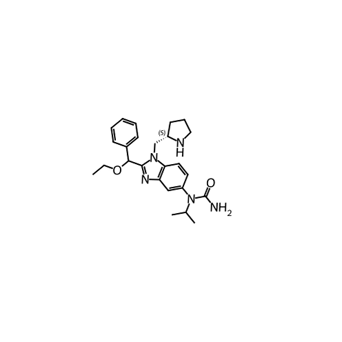 CCOC(c1ccccc1)c1nc2cc(N(C(N)=O)C(C)C)ccc2n1C[C@@H]1CCCN1